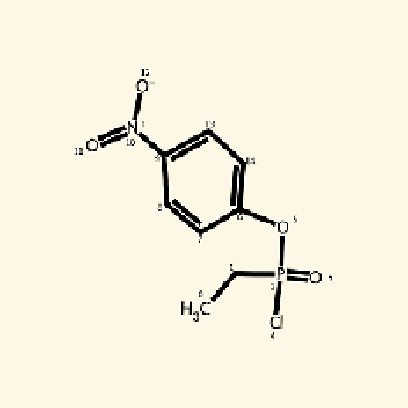 CCP(=O)(Cl)Oc1ccc([N+](=O)[O-])cc1